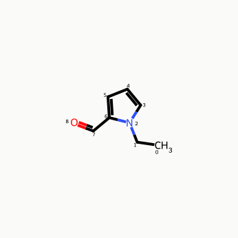 CCn1cccc1C=O